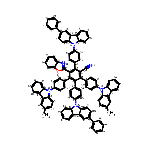 Cc1ccc2c(c1)c1ccccc1n2-c1ccc(-c2c(C#N)c(-c3ccc(-n4c5ccccc5c5cc(-c6ccccc6)ccc54)cc3)c(-c3nc4ccccc4o3)c(-c3ccc(-n4c5ccccc5c5cc(C)ccc54)cc3)c2-c2ccc(-n3c4ccccc4c4cc(-c5ccccc5)ccc43)cc2)cc1